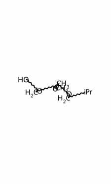 C=C(CCCCCCCO)OCCCCCCCC(=O)CC(C)(C)CCCCCCOC(=C)CCCCCCCC(C)C